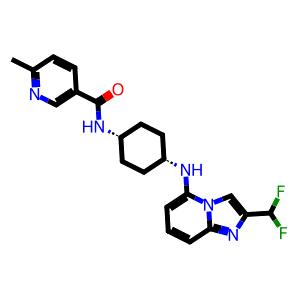 Cc1ccc(C(=O)N[C@H]2CC[C@@H](Nc3cccc4nc(C(F)F)cn34)CC2)cn1